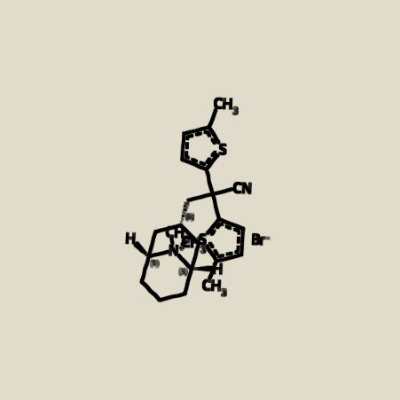 Cc1ccc(C(C#N)(C[C@H]2C[C@H]3CCC[C@@H](C2)[N+]3(C)C)c2ccc(C)s2)s1.[Br-]